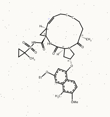 CCOc1cc(O[C@@H]2C[C@H]3C(=O)N[C@]4(C(=O)NS(=O)(=O)C5(C)CC5)C[C@H]4/C=C\CCCCC[C@H](C)C(=O)N3C2)c2ccc(OC)c(C)c2n1